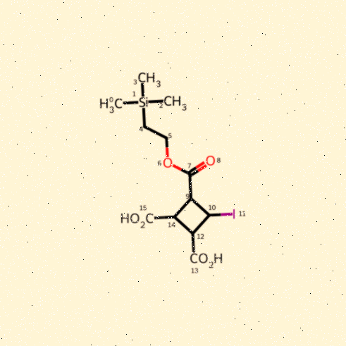 C[Si](C)(C)CCOC(=O)C1C(I)C(C(=O)O)C1C(=O)O